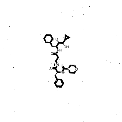 O=C(CCNC(=O)[C@H](Cc1ccccc1)NC(=O)N1CCOCC1)N[C@@H](CC1CCCCC1)[C@@H](O)[C@@H](O)C1CC1